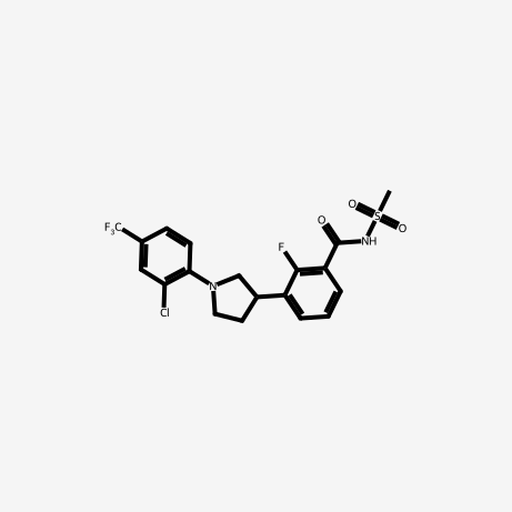 CS(=O)(=O)NC(=O)c1cccc(C2CCN(c3ccc(C(F)(F)F)cc3Cl)C2)c1F